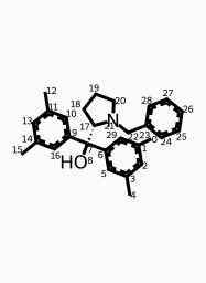 Cc1cc(C)cc(C(O)(c2cc(C)cc(C)c2)[C@@H]2CCCN2Cc2ccccc2)c1